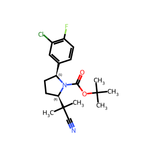 CC(C)(C)OC(=O)N1[C@H](c2ccc(F)c(Cl)c2)CC[C@@H]1C(C)(C)C#N